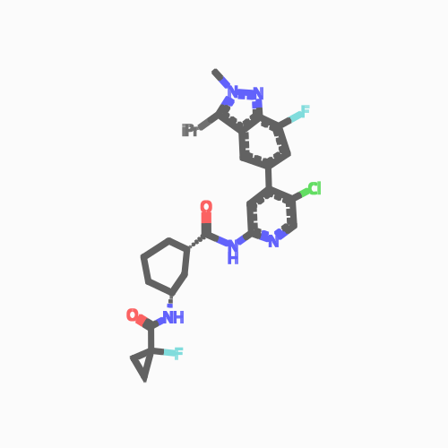 CC(C)c1c2cc(-c3cc(NC(=O)[C@H]4CCC[C@@H](NC(=O)C5(F)CC5)C4)ncc3Cl)cc(F)c2nn1C